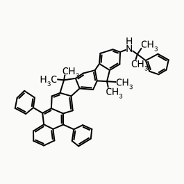 CC(C)(Nc1ccc2c(c1)C(C)(C)c1cc3c(cc1-2)C(C)(C)c1cc2c(-c4ccccc4)c4ccccc4c(-c4ccccc4)c2cc1-3)c1ccccc1